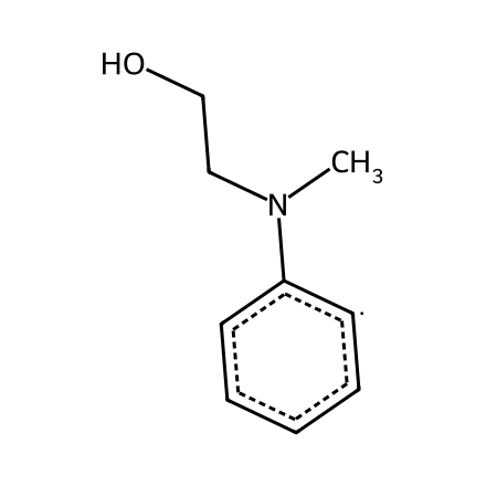 CN(CCO)c1[c]cccc1